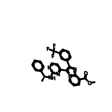 COC(=O)c1cccn2c(-c3ccnc(N[C@@H](C)c4ccccc4)n3)c(-c3cccc(C(F)(F)F)c3)nc12